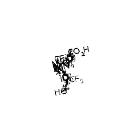 C[C@H](NC(=O)c1c(C(F)(F)F)nn2c1N(Cc1ccc(CCCO)c(C(F)(F)F)c1)CC2)c1ccc(C(=O)O)cc1